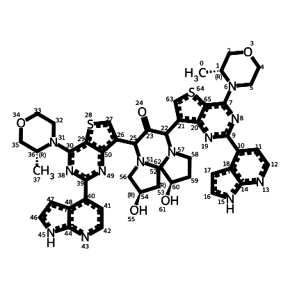 C[C@@H]1COCCN1c1nc(-c2ccnc3[nH]ccc23)nc2c(C(C(=O)C(c3csc4c(N5CCOC[C@H]5C)nc(-c5ccnc6[nH]ccc56)nc34)N3CC[C@@H](O)C3)N3CC[C@@H](O)C3)csc12